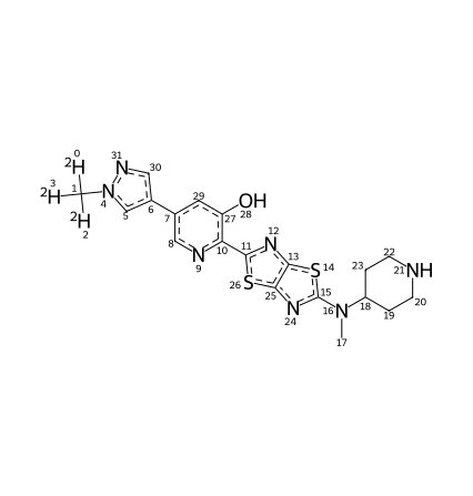 [2H]C([2H])([2H])n1cc(-c2cnc(-c3nc4sc(N(C)C5CCNCC5)nc4s3)c(O)c2)cn1